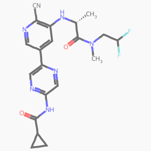 C[C@@H](Nc1cc(-c2cnc(NC(=O)C3CC3)cn2)cnc1C#N)C(=O)N(C)CC(F)F